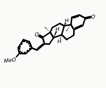 COc1cccc(C=C2C[C@H]3[C@@H]4CCC5=CC(=O)C=C[C@]5(C)[C@H]4CC[C@]3(C)C2=O)c1